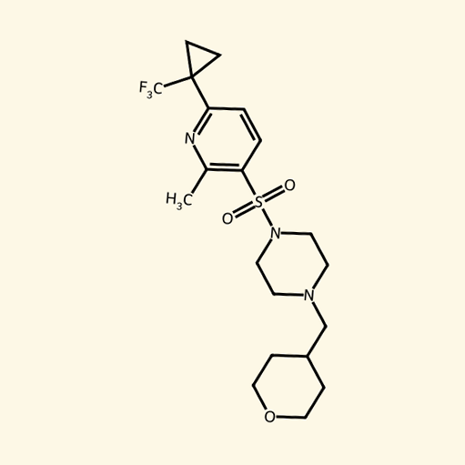 Cc1nc(C2(C(F)(F)F)CC2)ccc1S(=O)(=O)N1CCN(CC2CCOCC2)CC1